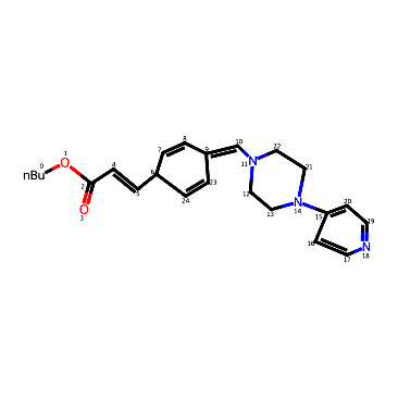 CCCCOC(=O)/C=C/C1C=CC(=CN2CCN(c3ccncc3)CC2)C=C1